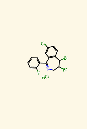 Cl.Fc1ccccc1C1=NCC(Br)C(Br)c2ccc(Cl)cc21